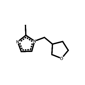 Cc1nccn1CC1CCOC1